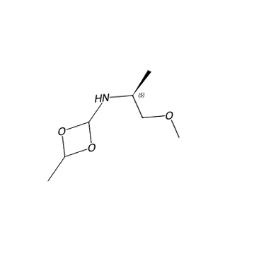 COC[C@H](C)NC1OC(C)O1